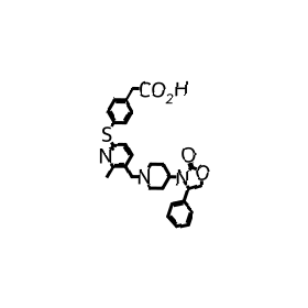 Cc1nc(Sc2ccc(CC(=O)O)cc2)ccc1CN1CCC(N2C(=O)OCC2c2ccccc2)CC1